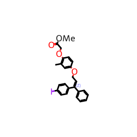 COC(=O)COc1ccc(OC/C=C(/c2ccccc2)c2ccc(I)cc2)cc1C